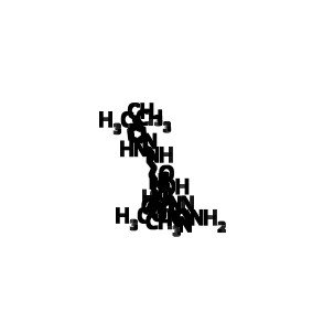 CC1(C)O[C@@H]2[C@H](O1)[C@@H](CN(CCCNc1nc3cc(C(C)(C)C)ccc3[nH]1)C(=O)O)O[C@H]2n1cnc2c(N)ncnc21